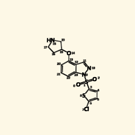 O=S(=O)(c1ccc(Cl)s1)n1ncc2c(OC3CCNC3)cccc21